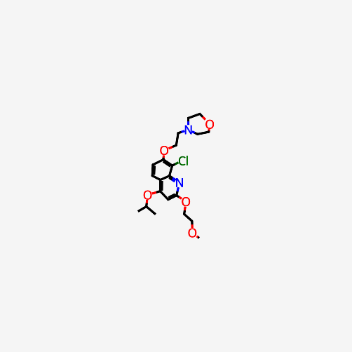 COCCOc1cc(OC(C)C)c2ccc(OCCN3CCOCC3)c(Cl)c2n1